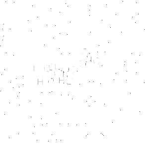 CC1(C)CCC(C)(C)c2cc(-n3c4ccccc4c4cc(-c5ccc6c(c5)c5ccccc5n6-c5ccccc5)ccc43)ccc21